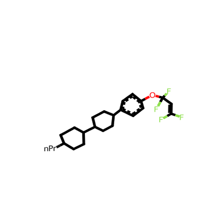 CCCC1CCC(C2CCC(c3ccc(OC(F)(F)C=C(F)F)cc3)CC2)CC1